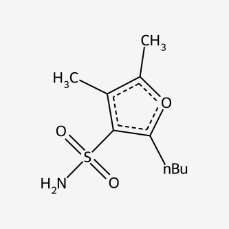 CCCCc1oc(C)c(C)c1S(N)(=O)=O